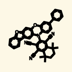 CC1(C)CCC(C)(C)c2c(C#N)c(N3c4ccc(-c5ccccc5)cc4Oc4cc5oc6ccccc6c5cc43)c(C#N)c(C#N)c21